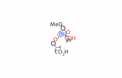 COc1ccc(C(=O)N[C@H](CO)CC(C)C)c(N2CCC(COc3cccc(C(CC(=O)O)C4CC4)c3)CC2)c1